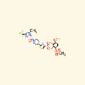 Cc1cc(C(F)(F)F)nn1CC(=O)N1CCC(c2nc(C3OCc4c(OC(F)F)ccc(OS(C)(=O)=O)c4CO3)cs2)CC1